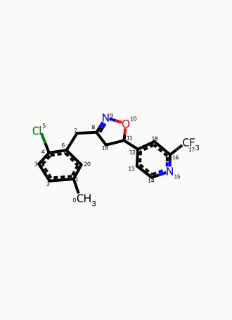 Cc1ccc(Cl)c(CC2=NOC(c3ccnc(C(F)(F)F)c3)C2)c1